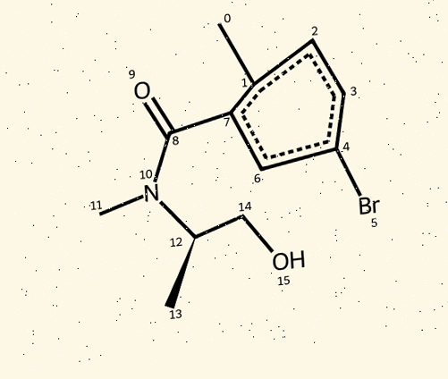 Cc1ccc(Br)cc1C(=O)N(C)[C@H](C)CO